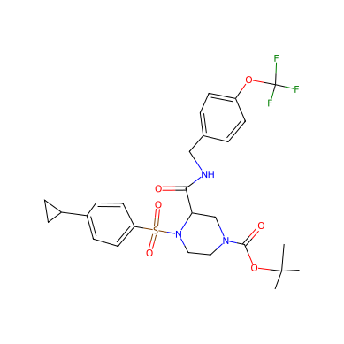 CC(C)(C)OC(=O)N1CCN(S(=O)(=O)c2ccc(C3CC3)cc2)C(C(=O)NCc2ccc(OC(F)(F)F)cc2)C1